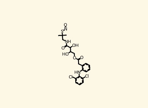 CC(C)(CNC(=O)C(O)C(O)COC(=O)Cc1ccccc1Nc1c(Cl)cccc1Cl)SN=O